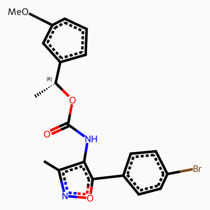 COc1cccc([C@@H](C)OC(=O)Nc2c(C)noc2-c2ccc(Br)cc2)c1